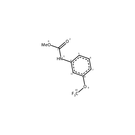 COC(=O)Nc1cccc(OC(F)(F)F)c1